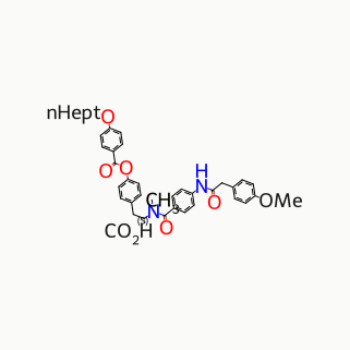 CCCCCCCOc1ccc(C(=O)Oc2ccc(C[C@@H](C(=O)O)N(C)C(=O)c3ccc(NC(=O)Cc4ccc(OC)cc4)cc3)cc2)cc1